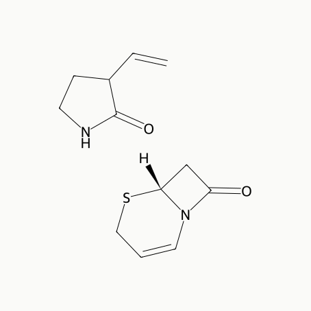 C=CC1CCNC1=O.O=C1C[C@H]2SCC=CN12